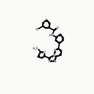 Cc1ccc(-c2nnc3ccc(-c4cccc(NC(=O)c5cccc(Cl)c5)c4)nn23)o1